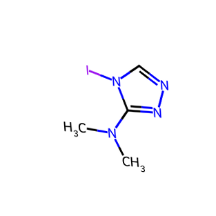 CN(C)c1nncn1I